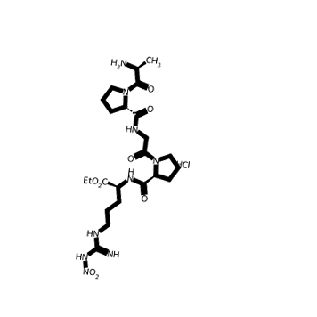 CCOC(=O)[C@H](CCCNC(=N)N[N+](=O)[O-])NC(=O)[C@@H]1CCCN1C(=O)CNC(=O)[C@@H]1CCCN1C(=O)[C@H](C)N.Cl